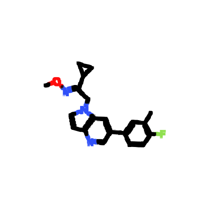 CON=C(Cn1ccc2ncc(-c3ccc(F)c(C)c3)cc21)C1CC1